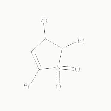 CCC1C=C(Br)S(=O)(=O)C1CC